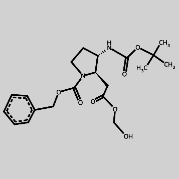 CC(C)(C)OC(=O)N[C@H]1CCN(C(=O)OCc2ccccc2)[C@@H]1CC(=O)OCO